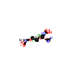 Cc1c(COc2cc(OCc3cncc(C#N)c3)c(CNC(CO)CO)cc2Cl)cccc1-c1cccc(OCCCN(C)C[C@H](O)CO)c1Cl